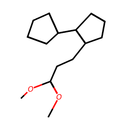 COC(CCC1CCCC1C1CCCC1)OC